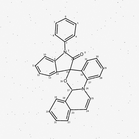 O=C1N(c2ccccc2)c2ccccc2C12OC1c3ccccc3C=CN1c1ccccc12